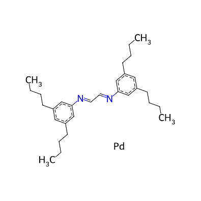 CCCCc1cc(CCCC)cc(N=CC=Nc2cc(CCCC)cc(CCCC)c2)c1.[Pd]